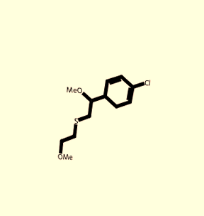 COCCSCC(OC)C1C=CC(Cl)=CC1